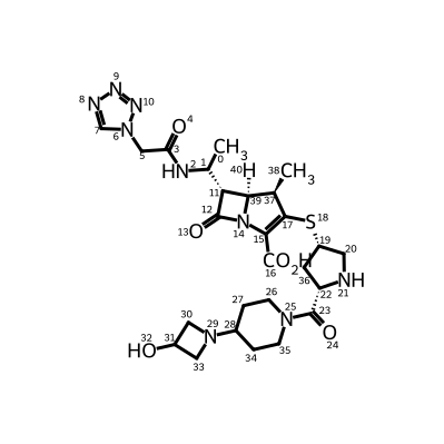 CC(NC(=O)Cn1cnnn1)[C@H]1C(=O)N2C(C(=O)O)=C(S[C@@H]3CN[C@H](C(=O)N4CCC(N5CC(O)C5)CC4)C3)[C@H](C)[C@H]12